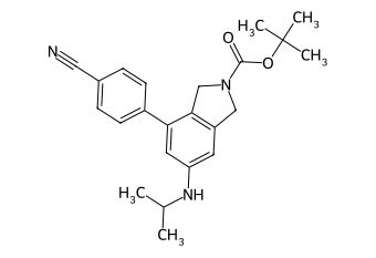 CC(C)Nc1cc2c(c(-c3ccc(C#N)cc3)c1)CN(C(=O)OC(C)(C)C)C2